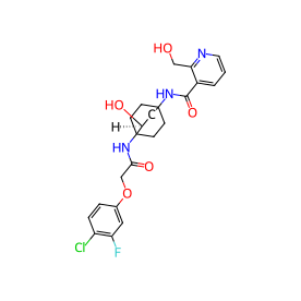 O=C(COc1ccc(Cl)c(F)c1)NC12CCC(NC(=O)c3cccnc3CO)(CC1)C[C@@H]2O